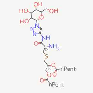 CCCCCC(=O)OC[C@H](CSC[C@@H](N)C(=O)Nc1cn(C2OC(CO)C(O)C(O)C2O)nn1)OC(=O)CCCCC